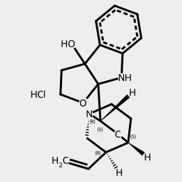 C=C[C@H]1C[N@]2CC[C@H]1C[C@H]2C12Nc3ccccc3C1(O)CCO2.Cl